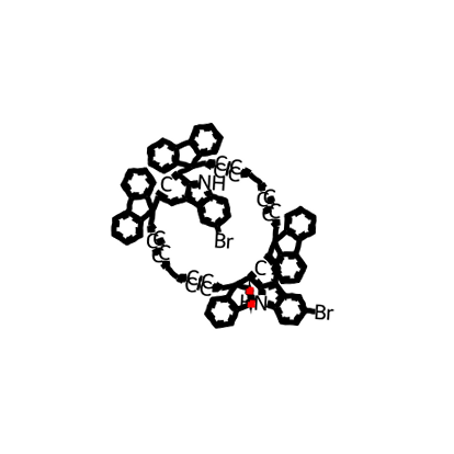 Brc1ccc2[nH]c3c4cc(cc3c2c1)C1(c2ccc(cc2)-c2ccc(cc2)C2(c3ccccc3-c3ccccc32)c2cc(cc3c2[nH]c2ccc(Br)cc23)C2(c3ccc(cc3)-c3ccc(cc3)C43c4ccccc4-c4ccccc43)c3ccccc3-c3ccccc32)c2ccccc2-c2ccccc21